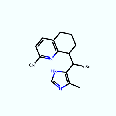 [C-]#[N+]c1ccc2c(n1)C(C(CCCC)c1[nH]cnc1C)CCC2